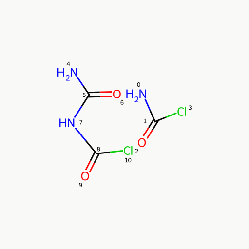 NC(=O)Cl.NC(=O)NC(=O)Cl